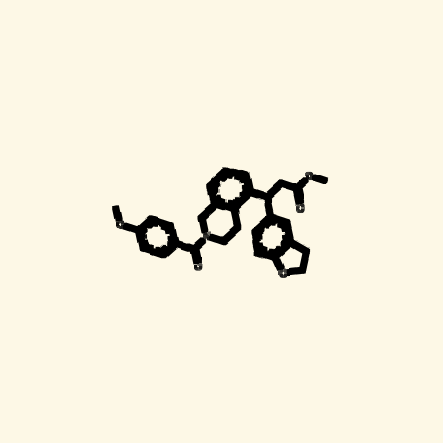 COC(=O)CC(c1ccc2c(c1)CCO2)c1cccc2c1CCN(C(=O)c1ccc(OC)cc1)C2